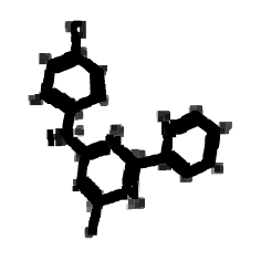 Cc1cc(Nc2ccc(Cl)cc2)nc(-c2ccccn2)n1